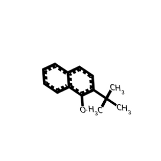 CC(C)(C)c1ccc2ccccc2c1[O]